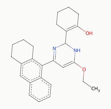 CCOC1=CC(c2c3c(cc4ccccc24)CCCC3)=NC(C2=C(O)CCCC2)N1